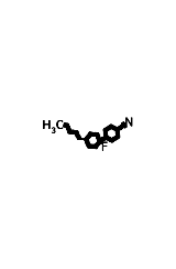 CCCCC[C@H]1CC[C@](F)(C2CCC(C#N)CC2)CC1